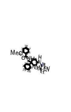 CCN(CC)/C(=N\C#N)NC1CCC(CNC(=O)c2ccccc2OC)(c2ccccc2)CC1